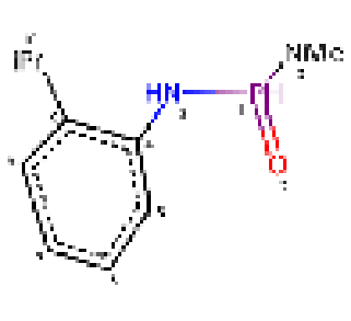 CN[PH](=O)Nc1ccccc1C(C)C